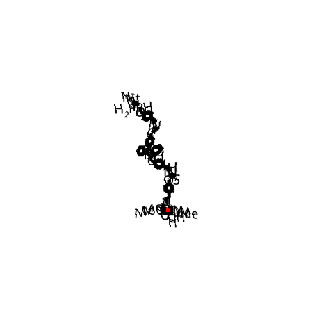 COP(=O)(CN(CCc1ccc(O[PH](=S)N(C)N=Cc2ccc(O[PH](=S)N=P(c3ccccc3)(c3ccccc3)c3ccc(OCN(C)N=Cc4ccc(OPP(P)N=[N+]=[N-])cc4)cc3)cc2)cc1)C[PH](O)(OC)OC)OC